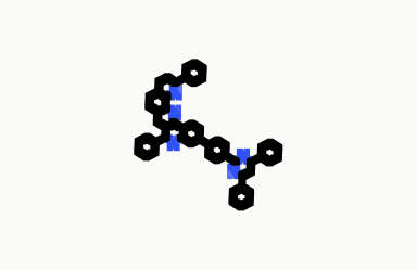 c1ccc(-c2cc(-c3ccccc3)nc(-c3ccc(-c4ccc5c(c4)nc(-c4ccccc4)c4cc6ccc7ccc(-c8ccccc8)nc7c6nc45)cc3)n2)cc1